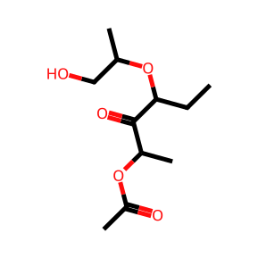 CCC(OC(C)CO)C(=O)C(C)OC(C)=O